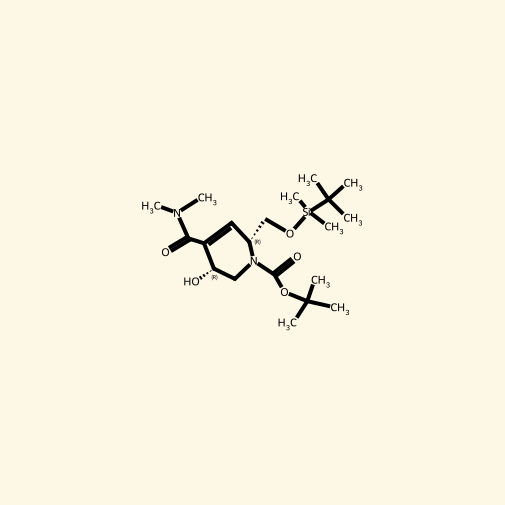 CN(C)C(=O)C1=C[C@H](CO[Si](C)(C)C(C)(C)C)N(C(=O)OC(C)(C)C)C[C@@H]1O